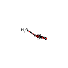 CCCCCCCCCCCCOc1ccc(C(=O)Oc2ccc(OCc3ccccc3)cc2)c(Cl)c1